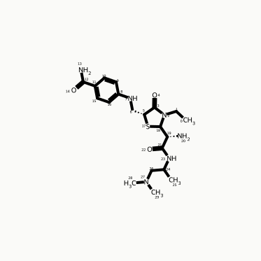 CCN1C(=O)[C@@H](CNc2ccc(C(N)=O)cc2)SC1[C@H](N)C(=O)NC(C)CN(C)C